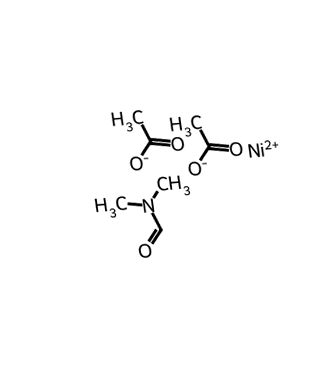 CC(=O)[O-].CC(=O)[O-].CN(C)C=O.[Ni+2]